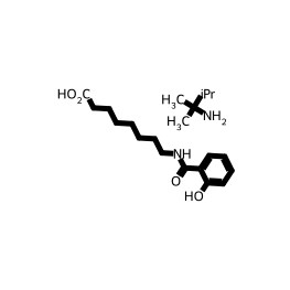 CC(C)C(C)(C)N.O=C(O)CCCCCCCNC(=O)c1ccccc1O